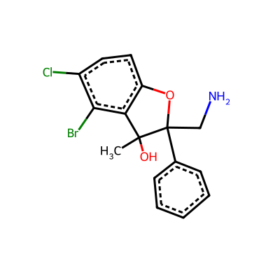 CC1(O)c2c(ccc(Cl)c2Br)OC1(CN)c1ccccc1